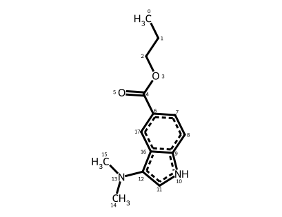 CCCOC(=O)c1ccc2[nH]cc(N(C)C)c2c1